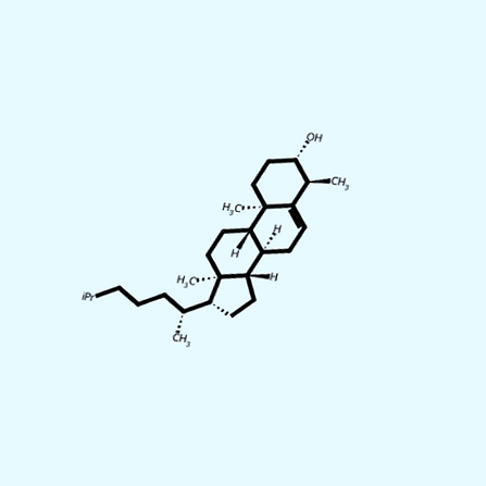 CC(C)CCC[C@@H](C)[C@H]1CC[C@H]2[C@@H]3CC=C4[C@H](C)[C@@H](O)CC[C@]4(C)[C@H]3CC[C@]12C